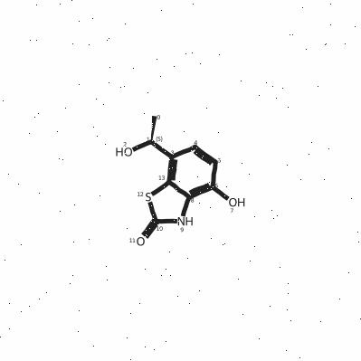 C[C@H](O)c1ccc(O)c2[nH]c(=O)sc12